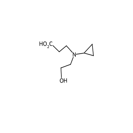 O=C(O)CCN(CCO)C1CC1